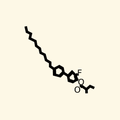 CCCCCCCCCCCCc1ccc(-c2ccc(OC(=O)C(C)CC)c(F)c2)cc1